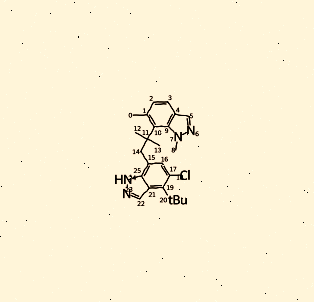 Cc1ccc2cnn(C)c2c1C(C)(C)Cc1cc(Cl)c(C(C)(C)C)c2cn[nH]c12